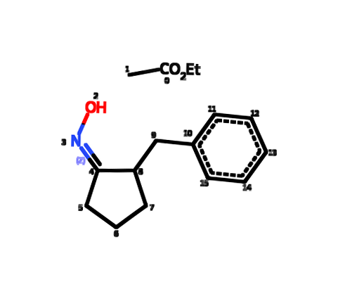 CCOC(C)=O.O/N=C1/CCCC1Cc1ccccc1